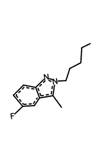 CCCCCn1nc2ccc(F)cc2c1C